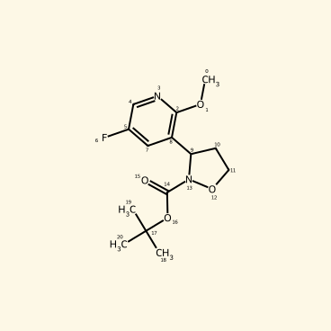 COc1ncc(F)cc1C1CCON1C(=O)OC(C)(C)C